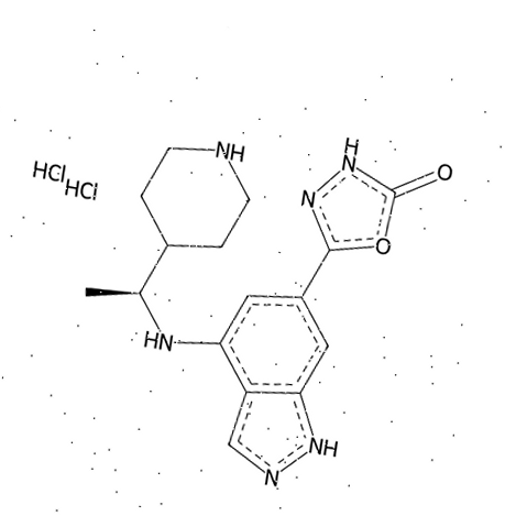 C[C@H](Nc1cc(-c2n[nH]c(=O)o2)cc2[nH]ncc12)C1CCNCC1.Cl.Cl